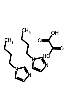 CCCCn1ccnc1.CCCCn1ccnc1.O=C(O)C(=O)O